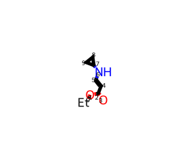 CCOC(=O)C=CNC1CC1